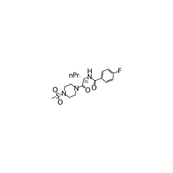 CCC[C@H](NC(=O)c1ccc(F)cc1)C(=O)N1CCN(S(C)(=O)=O)CC1